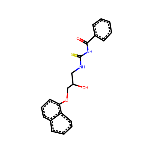 O=C(NC(=S)NCC(O)COc1cccc2ccccc12)c1ccccc1